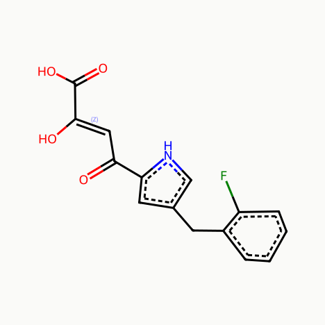 O=C(O)/C(O)=C/C(=O)c1cc(Cc2ccccc2F)c[nH]1